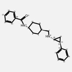 O=C(N[C@H]1CC[C@H](CN[C@@H]2C[C@H]2c2ccccc2)CC1)c1ccccc1